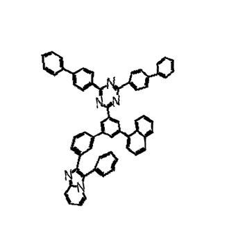 c1ccc(-c2ccc(-c3nc(-c4ccc(-c5ccccc5)cc4)nc(-c4cc(-c5cccc(-c6nc7ccccn7c6-c6ccccc6)c5)cc(-c5cccc6ccccc56)c4)n3)cc2)cc1